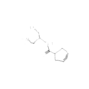 NCC(CN)NC(=O)C1CC=CC1